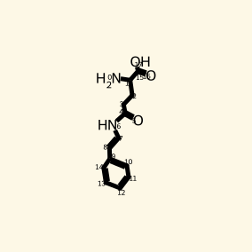 NC(CCC(=O)NC=Cc1ccccc1)C(=O)O